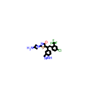 NC1CN(C2=NC(=O)C(=C(Cc3ccc(Cl)cc3C(F)(F)F)c3ccc4[nH]ncc4c3)S2)C1